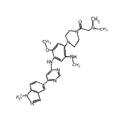 CNc1cc(Nc2cc(-c3ccc4c(cnn4C)c3)ncn2)c(OC)cc1N1CCN(C(=O)CN(C)C)CC1